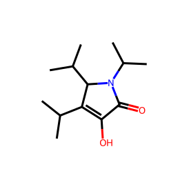 CC(C)C1=C(O)C(=O)N(C(C)C)C1C(C)C